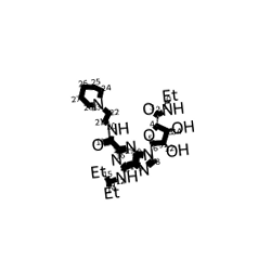 CCNC(=O)[C@H]1O[C@@H](n2cnc3c(NC(CC)CC)nc(C(=O)NCCN4CCCCC4)nc32)[C@@H](O)[C@@H]1O